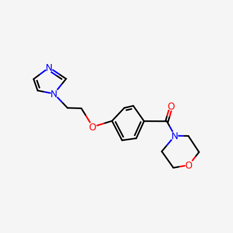 O=C(c1ccc(OCCn2ccnc2)cc1)N1CCOCC1